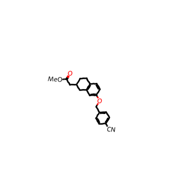 COC(=O)CC1CCc2ccc(OCc3ccc(C#N)cc3)cc2C1